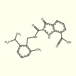 Cc1cccc(C(C)C)c1CNC(=O)n1[nH]c2c(C(=O)O)cccc2c1=O